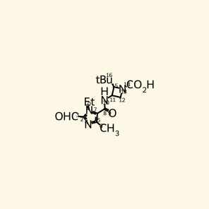 CCn1c(C=O)nc(C)c1C(=O)NC1CN(C(=O)O)C1C(C)(C)C